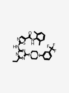 CCc1nc(Nc2ncc(C(=O)Nc3c(C)cccc3C)s2)nc(N2CCN(c3cccc(C(F)(F)F)c3)CC2)n1